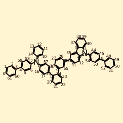 c1ccc(-c2ccc(N(c3ccccc3)c3ccc(-c4ccccc4-c4cccc(-c5ccc6c(c5)c5ccccc5n6-c5ccc(-c6ccccc6)cc5)c4)cc3)cc2)cc1